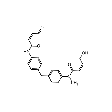 CN(C(=O)/C=C\CO)c1ccc(Cc2ccc(NC(=O)/C=C\C=O)cc2)cc1